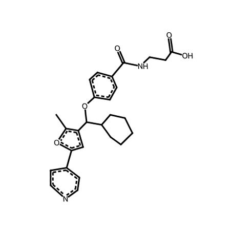 Cc1oc(-c2ccncc2)cc1C(Oc1ccc(C(=O)NCCC(=O)O)cc1)C1CCCCC1